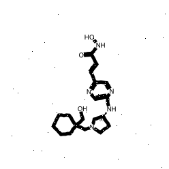 O=C(C=Cc1cnc(N[C@@H]2CCN(CC3(CO)CCCCC3)C2)cn1)NO